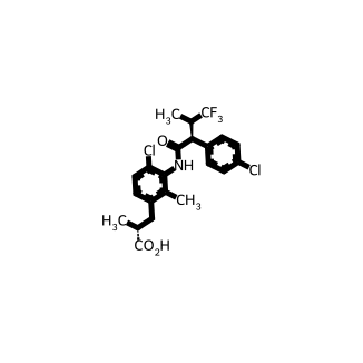 Cc1c(C[C@@H](C)C(=O)O)ccc(Cl)c1NC(=O)[C@H](c1ccc(Cl)cc1)C(C)C(F)(F)F